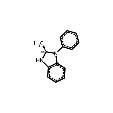 C[C@@H]1Nc2ccccc2N1c1ccccc1